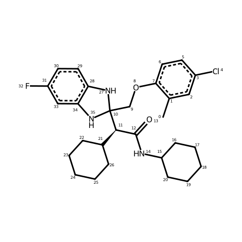 Cc1cc(Cl)ccc1OCC1([C@@H](C(=O)NC2CCCCC2)C2CCCCC2)Nc2ccc(F)cc2N1